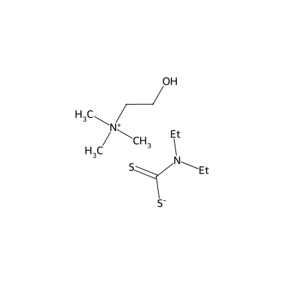 CCN(CC)C(=S)[S-].C[N+](C)(C)CCO